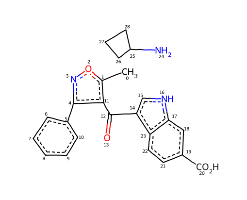 Cc1onc(-c2ccccc2)c1C(=O)c1c[nH]c2cc(C(=O)O)ccc12.NC1CCC1